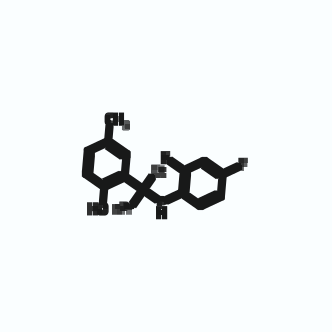 CCCC(CC)(Pc1ccc(F)cc1F)c1cc(C)ccc1O